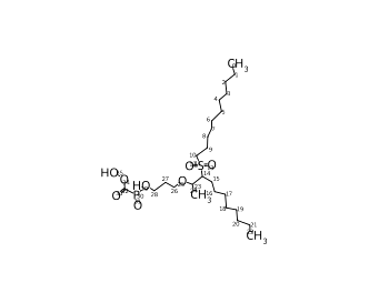 CCCCCCCCCCCS(=O)(=O)C(CCCCCCCC)C(C)OCCCO[PH](=O)C(=O)OO